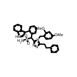 COc1ccc(Cn2c(CCc3ccccc3)nnc2C(c2ccccc2-c2c[nH]c3ccccc23)S(N)(=O)=O)c(OC)c1